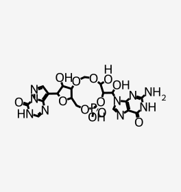 Nc1nc2c(ncn2C(O)C2OP(=O)(O)OCC3OC(c4cnn5c(=O)[nH]cnc45)C(O)C3OCOC2O)c(=O)[nH]1